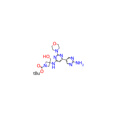 CC(C)(C)OC(=O)N1CC(CO)(Nc2cc(-c3cnc(N)nc3)nc(N3CCOCC3)n2)C1